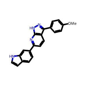 COc1ccc(-c2n[nH]c3nc(-c4ccc5cc[nH]c5c4)ccc23)cc1